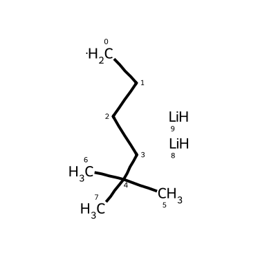 [CH2]CCCC(C)(C)C.[LiH].[LiH]